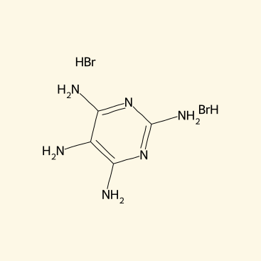 Br.Br.Nc1nc(N)c(N)c(N)n1